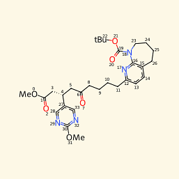 COC(=O)C[C@H](CC(=O)CCCCc1ccc2c(n1)N(C(=O)OC(C)(C)C)CCCC2)c1cnc(OC)nc1